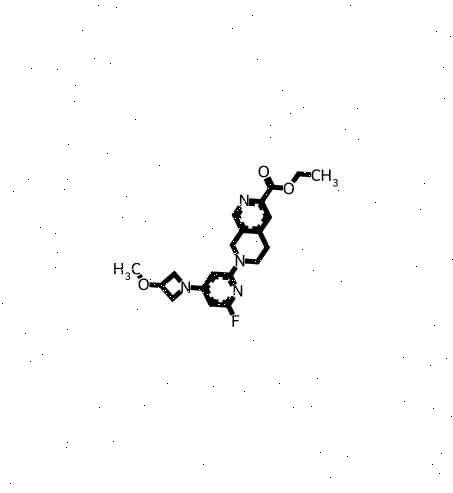 CCOC(=O)c1cc2c(cn1)CN(c1cc(N3CC(OC)C3)cc(F)n1)CC2